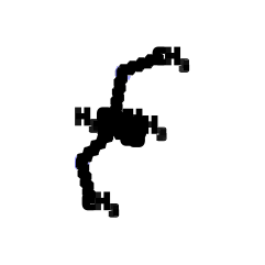 CCCCCCCC/C=C\CCCCCCCCC1=[N+](CC)C(NC(=O)CCCCCCC/C=C\CCCCCCCC)CN1.COS(=O)(=O)[O-]